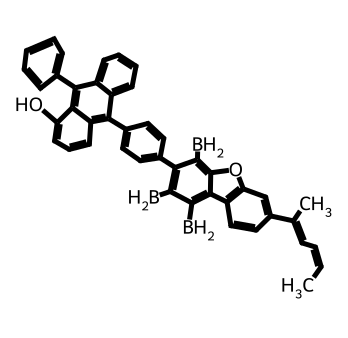 Bc1c(-c2ccc(-c3c4ccccc4c(-c4ccccc4)c4c(O)cccc34)cc2)c(B)c2oc3cc(/C(C)=C/C=C\C)ccc3c2c1B